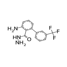 NNC(=O)c1c(N)cccc1-c1cccc(C(F)(F)F)c1